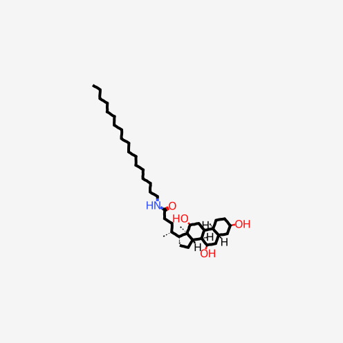 CCCCCCCCCCCCCCCCCCNC(=O)CC[C@@H](C)[C@H]1CC[C@H]2[C@@H]3[C@H](O)C[C@@H]4C[C@H](O)CC[C@]4(C)[C@H]3C[C@H](O)[C@]12C